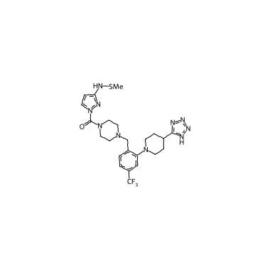 CSNc1ccn(C(=O)N2CCN(Cc3ccc(C(F)(F)F)cc3N3CCC(c4nnn[nH]4)CC3)CC2)n1